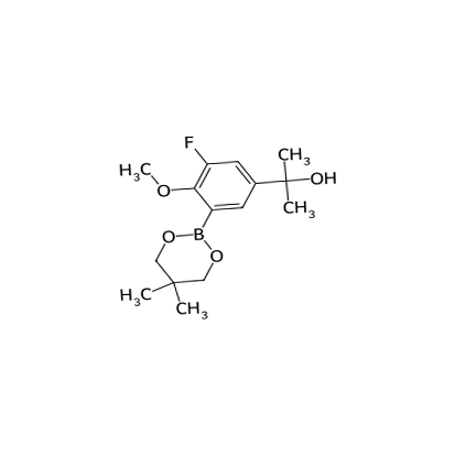 COc1c(F)cc(C(C)(C)O)cc1B1OCC(C)(C)CO1